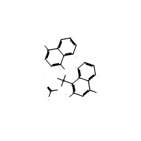 CC(OC(N)=O)(Sc1ccc(C(=O)O)c2ccccc12)c1c(C(=O)O)cc(C(=O)O)c2ccccc12